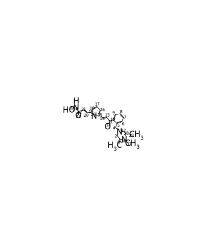 C[C@@H]1CN(Cc2ccccc2C(=O)/C=C/c2cccc(/C=C/C(=O)NO)n2)C[C@H](C)N1C